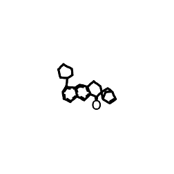 O=C1c2cc3cccc(C4CCCCC4)c3cc2CCC12CC1C=CC2C1